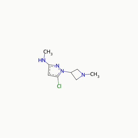 CNc1cc(Cl)n(C2CN(C)C2)n1